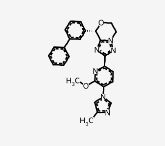 COc1nc(-c2nc3n(n2)CCO[C@H]3c2cccc(-c3ccccc3)c2)ccc1-n1cnc(C)c1